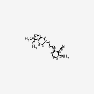 CC(C)(C)N1CCC(CCOc2cccc(N)c2C#N)CC1